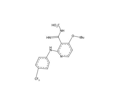 CC(C)(C)Oc1ccnc(Nc2ccc(C(F)(F)F)cc2)c1C(=N)NC(=O)O